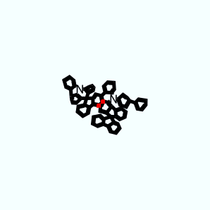 c1ccc(-c2ccc(N(c3ccccc3-c3ccc4c(c3)C3(c5ccccc5-4)c4ccccc4-n4c5ccccc5c5cccc3c54)c3cccc4c3-c3ccccc3C43c4ccccc4-c4ccccc43)cc2)cc1